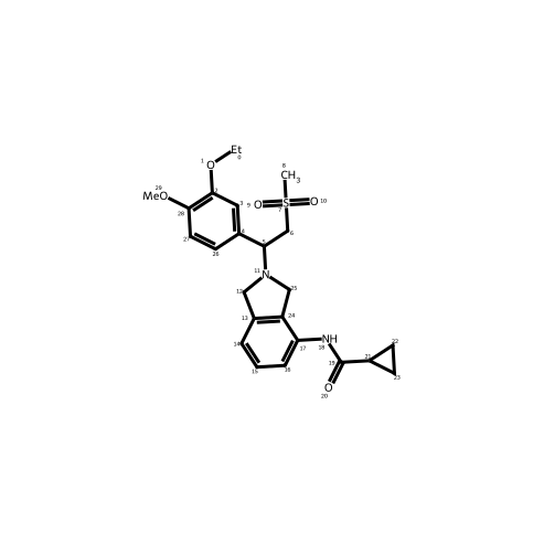 CCOc1cc(C(CS(C)(=O)=O)N2Cc3cccc(NC(=O)C4CC4)c3C2)ccc1OC